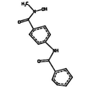 CN(O)C(=O)c1ccc(NC(=O)c2ccccc2)cc1